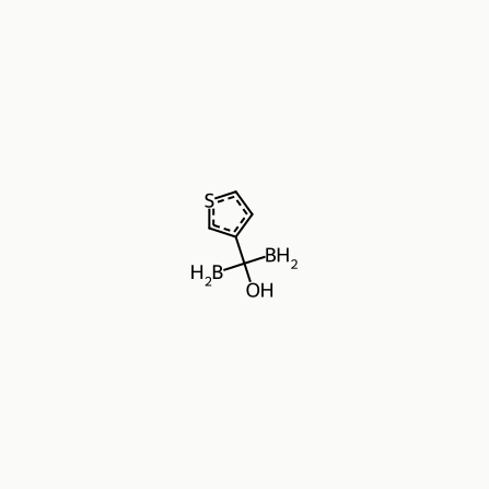 BC(B)(O)c1ccsc1